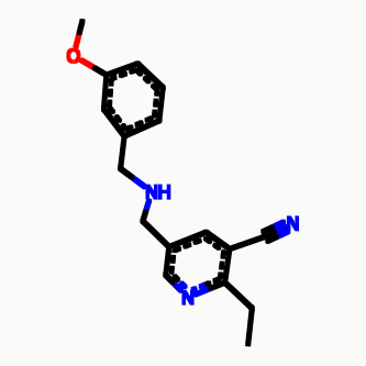 CCc1ncc(CNCc2cccc(OC)c2)cc1C#N